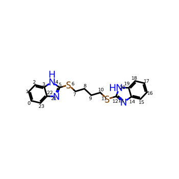 c1ccc2[nH]c(SCCCCSc3nc4ccccc4[nH]3)nc2c1